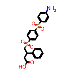 Nc1ccc(S(=O)(=O)c2ccc(S(=O)(=O)CC(CC(=O)O)c3ccccc3)cc2)cc1